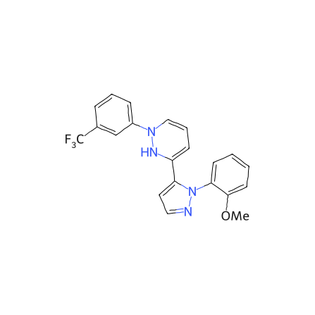 COc1ccccc1-n1nccc1C1=CC=CN(c2cccc(C(F)(F)F)c2)N1